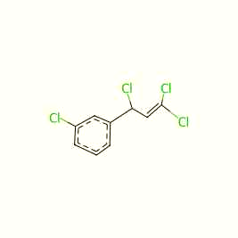 ClC(Cl)=CC(Cl)c1cccc(Cl)c1